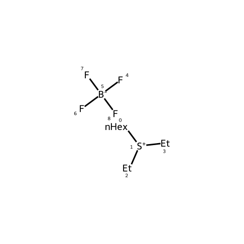 CCCCCC[S+](CC)CC.F[B-](F)(F)F